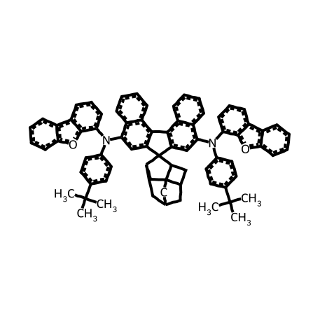 CC(C)(C)c1ccc(N(c2cc3c(c4ccccc24)-c2c(cc(N(c4ccc(C(C)(C)C)cc4)c4cccc5c4oc4ccccc45)c4ccccc24)C32C3CC4CC5CC2C5(C4)C3)c2cccc3c2oc2ccccc23)cc1